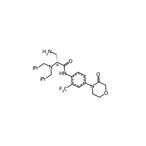 CC(C)CN(CC(C)C)[C@H](CN)C(=O)Nc1ccc(N2CCOCC2=O)cc1C(F)(F)F